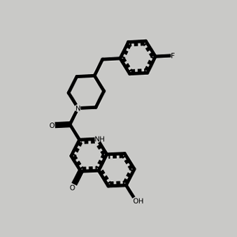 O=C(c1cc(=O)c2cc(O)ccc2[nH]1)N1CCC(Cc2ccc(F)cc2)CC1